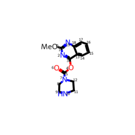 COc1nc(OC(=O)N2CCNCC2)c2ccccc2n1